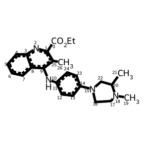 CCOC(=O)c1nc2ccccc2c(Nc2ccc(N3CCN(C)C(C)C3)cc2)c1C